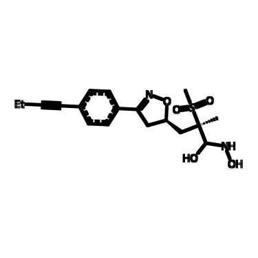 CCC#Cc1ccc(C2=NO[C@@H](C[C@](C)(C(O)NO)S(C)(=O)=O)C2)cc1